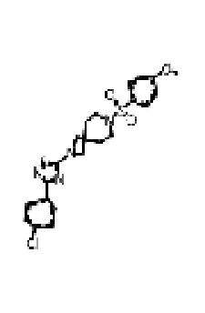 COc1ccc(S(=O)(=O)N2CCC3(CC2)CN(c2nc(-c4ccc(Cl)cc4)ns2)C3)cc1